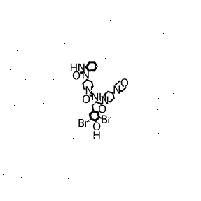 O=C(N[C@H](Cc1cc(Br)c(O)c(Br)c1)C(=O)N1CCC(N2CCOCC2)CC1)N1CCC(n2c(=O)[nH]c3ccccc32)CC1